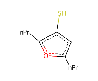 CCCc1cc(S)c(CCC)o1